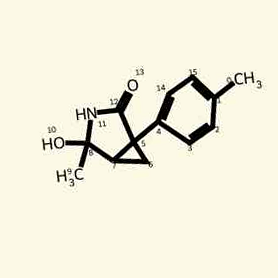 Cc1ccc(C23CC2C(C)(O)NC3=O)cc1